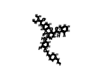 CCCN1CCN(CCOc2ccc(Nc3ncc(C(=O)Nc4c(C)cccc4C)c(Oc4ccc(CC(=O)N(CC)CC)cc4OC)n3)cc2F)CC1